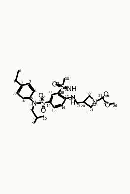 CCc1ccc(N(CC(C)C)S(=O)(=O)c2ccc(NCC3CN(C(=O)OC)C3)c(S(C)(=N)=O)c2)cc1